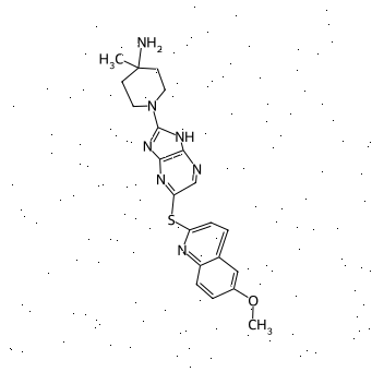 COc1ccc2nc(Sc3cnc4[nH]c(N5CCC(C)(N)CC5)nc4n3)ccc2c1